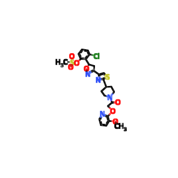 COc1cccnc1OCC(=O)N1CCC(c2nc(C3=NOC(c4c(Cl)cccc4OS(C)(=O)=O)C3)cs2)CC1